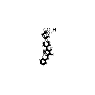 Cc1c(Cc2ccccc2)nnc(C2CCN(c3cnc(C(=O)O)cn3)CC2)c1C